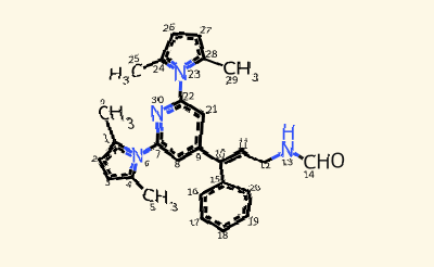 Cc1ccc(C)n1-c1cc(/C(=C/CNC=O)c2ccccc2)cc(-n2c(C)ccc2C)n1